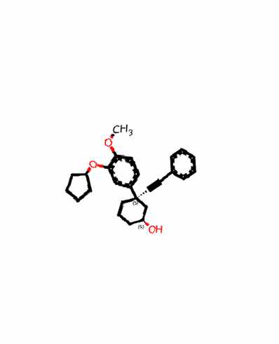 COc1ccc([C@]2(C#Cc3ccccc3)CCC[C@H](O)C2)cc1OC1CCCC1